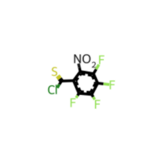 O=[N+]([O-])c1c(F)c(F)c(F)c(F)c1C(=S)Cl